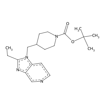 CCc1nc2cnccc2n1CC1CCN(C(=O)OC(C)(C)C)CC1